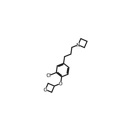 Clc1cc(CCCN2CCC2)ccc1OC1COC1